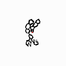 C1=Cc2ccc(-c3ccc4c(c3)c3cccnc3n4-c3ccccn3)cc2C2(c3ccccc31)c1ccccc1-c1cc3ccccc3cc12